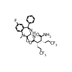 CN1C(=O)[C@@H](NC(=O)[C@@H](CCC(F)(F)F)[C@@H](CCC(F)(F)F)C(N)=O)N=C(c2ccccc2)c2cc(F)ccc21